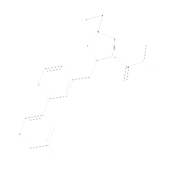 CC(C)C(=O)N1CC2(CC2)CC1Cc1cccc(-c2cccc(F)c2)c1